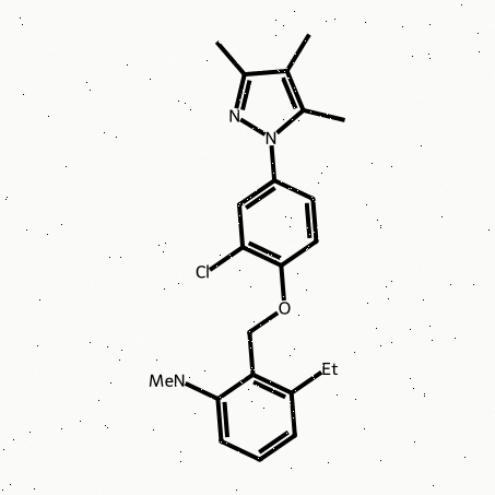 CCc1cccc(NC)c1COc1ccc(-n2nc(C)c(C)c2C)cc1Cl